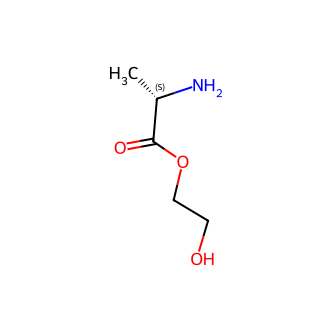 C[C@H](N)C(=O)OCCO